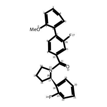 COc1ccccc1-c1ccc(C(=O)N2CCC[C@@H]2c2ccccc2F)cc1F